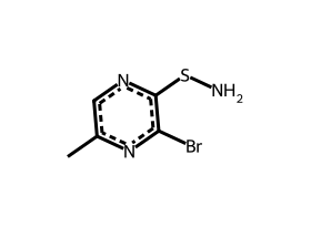 Cc1cnc(SN)c(Br)n1